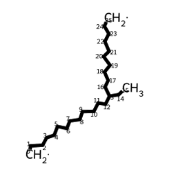 [CH2]CCCCCCCCCCCCC(CC)CCCCCCCCC[CH2]